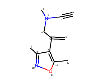 C#CN(C)CC(=C)c1c(C)noc1C